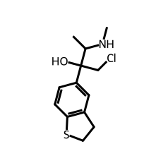 CNC(C)C(O)(CCl)c1ccc2c(c1)CCS2